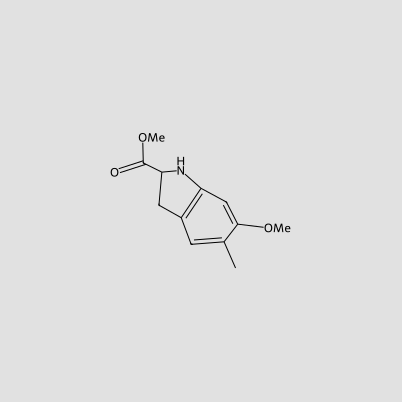 COC(=O)C1Cc2cc(C)c(OC)cc2N1